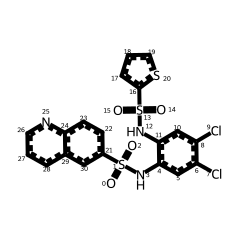 O=S(=O)(Nc1cc(Cl)c(Cl)cc1NS(=O)(=O)c1cccs1)c1ccc2ncccc2c1